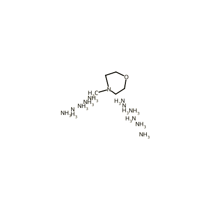 CN1CCOCC1.N.N.N.N.N.N.N.N.N.N.N